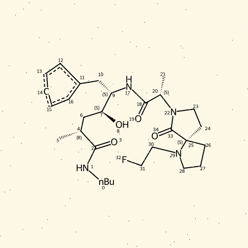 CCCCNC(=O)[C@H](C)C[C@H](O)[C@H](Cc1ccccc1)NC(=O)[C@H](C)N1CC[C@@]2(CCCN2CCF)C1=O